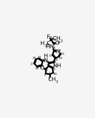 CC1CC(=O)c2c([nH]c(-c3ccnc(NC(=O)C(C)(C)F)c3)c2Nc2ccccc2)C1